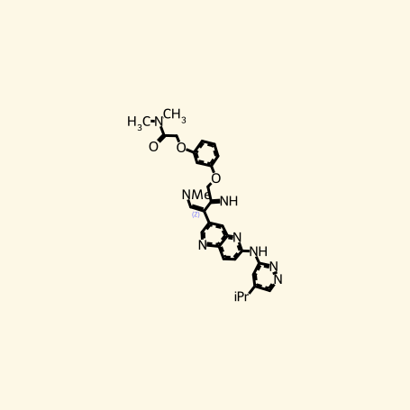 CN/C=C(\C(=N)COc1cccc(OCC(=O)N(C)C)c1)c1cnc2ccc(Nc3cc(C(C)C)cnn3)nc2c1